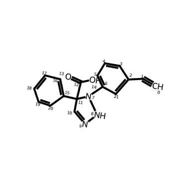 C#Cc1cccc(N2NN=CC2(C(=O)O)c2ccccc2)c1